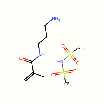 C=C(C)C(=O)NCCCN.O=S(=O)(NS(=O)(=O)C(F)(F)F)C(F)(F)F